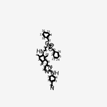 Cc1cc(C)c(NCCP(=O)(OCc2ccccc2)OCc2ccccc2)c(C)c1Cc1ccnc(Nc2ccc(C#N)cc2)n1